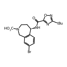 CC(C)(C)c1noc(C(=O)N[C@@H]2CCN(C(=O)O)Cc3cc(Br)ccc32)n1